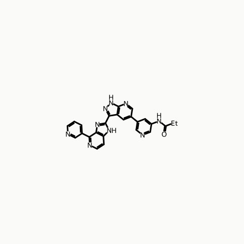 CCC(=O)Nc1cncc(-c2cnc3[nH]nc(-c4nc5c(-c6cccnc6)nccc5[nH]4)c3c2)c1